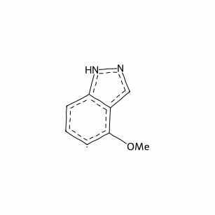 COc1[c]ccc2[nH]ncc12